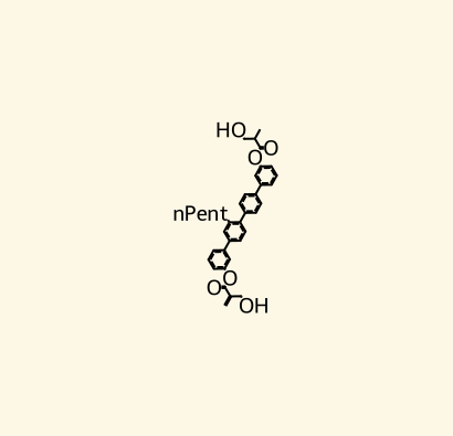 C=C(CO)C(=O)Oc1cccc(-c2ccc(-c3ccc(-c4cccc(OC(=O)C(C)CO)c4)cc3)c(CCCCC)c2)c1